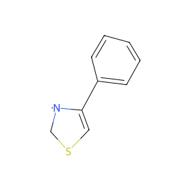 C1=C(c2ccccc2)[N]CS1